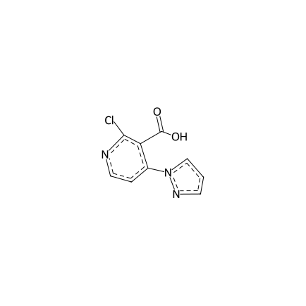 O=C(O)c1c(-n2cccn2)ccnc1Cl